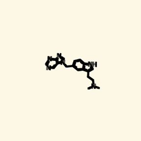 CN(C)CCc1c[nH]c2ccc(Cn3cnc4ncncc43)cc12